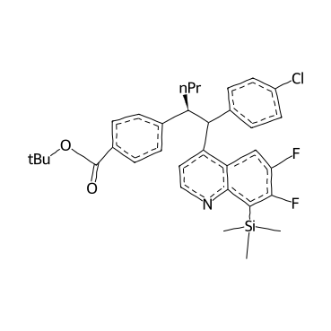 CCC[C@H](c1ccc(C(=O)OC(C)(C)C)cc1)C(c1ccc(Cl)cc1)c1ccnc2c([Si](C)(C)C)c(F)c(F)cc12